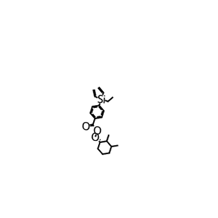 C=C[Si](C=C)(CC)c1ccc(C(=O)OO[C]2CCCC(C)C2C)cc1